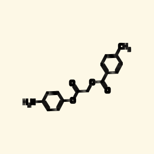 Cc1ccc(C(=O)OCC(=O)Oc2ccc(N)cc2)cc1